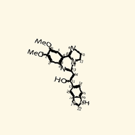 COc1cc2c(cc1OC)C1=NCCN1C(/C=C(\O)c1ccc3[nH]cnc3c1)=N2